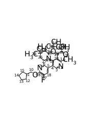 Cc1ncc(-c2cnc(OCC3CCCC3)c(F)c2)c(N2CCC(C)(C)CC2)c1[C@H](OC(C)(C)C)C(=O)O